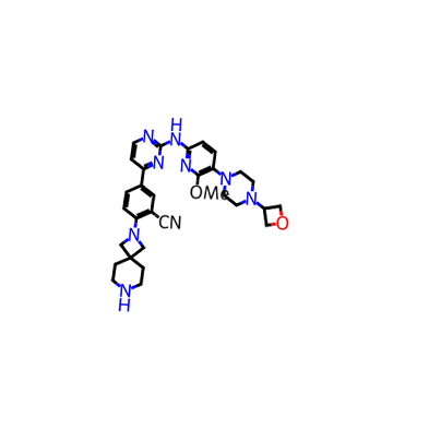 COc1nc(Nc2nccc(-c3ccc(N4CC5(CCNCC5)C4)c(C#N)c3)n2)ccc1N1CCN(C2COC2)CC1